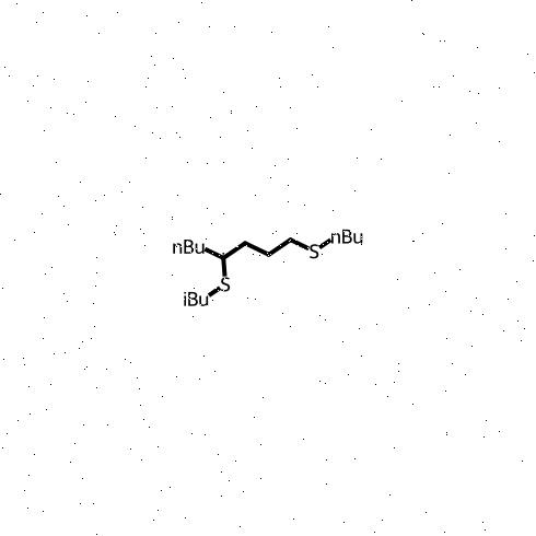 CCCCSCCC[C](CCCC)SC(C)CC